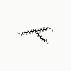 CCCCCCC[N]N(CCCCCCC)CCCCCCC